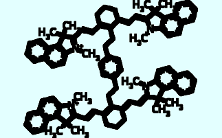 CN1C(=CC=C2CCCC(C=CC3=[N+](C)c4ccc5ccccc5c4C3(C)C)=C2CCc2ccc(CCC3=C(C=CC4=[N+](C)c5ccc6ccccc6c5C4(C)C)CCCC3=CC=C3N(C)c4ccc5ccccc5c4C3(C)C)cc2)C(C)(C)c2c1ccc1ccccc21